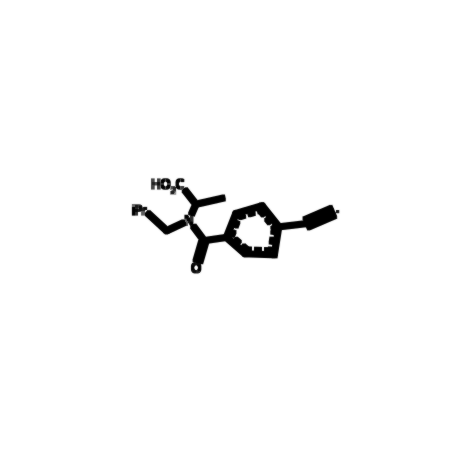 [C]#Cc1ccc(C(=O)N(CC(C)C)C(C)C(=O)O)cc1